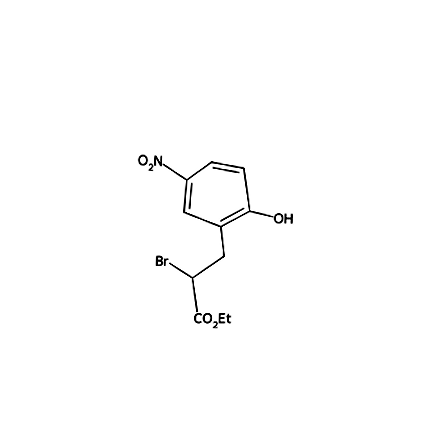 CCOC(=O)C(Br)Cc1cc([N+](=O)[O-])ccc1O